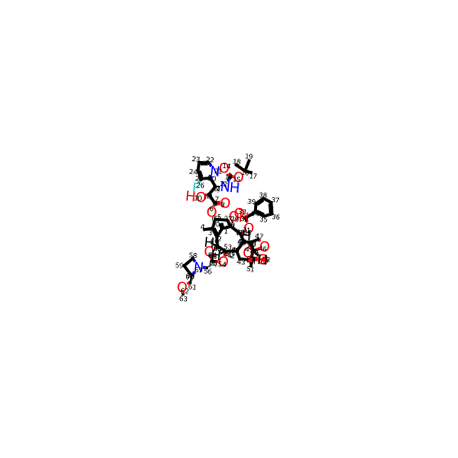 C=C1C2=C(C)[C@@H](OC(=O)[C@H](O)[C@@H](NC(=O)OC(C)(C)C)c3ncccc3F)C[C@@]1(O)[C@@H](OC(=O)c1ccccc1)[C@H]1[C@@](C)(CC[C@H]3OC[C@]31OC(C)=O)[C@@H]1O[C@H](CN3CC[C@@H]3COC)O[C@H]21